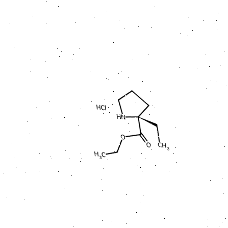 CCOC(=O)[C@@]1(CC)CCCN1.Cl